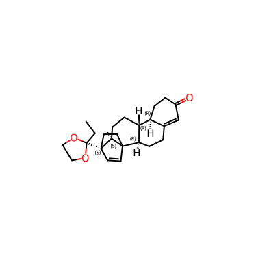 CCC1([C@]23C=CC4(CC2)[C@@H]2CCC5=CC(=O)CC[C@@H]5[C@H]2CC[C@@]43C)OCCO1